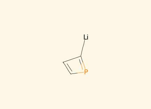 [Li][C]1=PC=C1